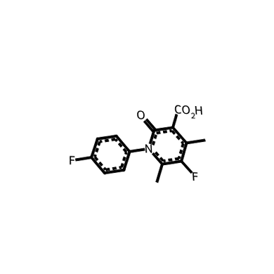 Cc1c(F)c(C)n(-c2ccc(F)cc2)c(=O)c1C(=O)O